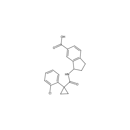 O=C(O)c1ccc2c(c1)C(NC(=O)C1(c3ccccc3Cl)CC1)CC2